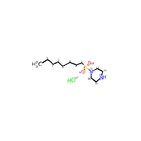 CCCCCCCCS(=O)(=O)N1CCNCC1.Cl